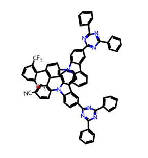 N#Cc1ccc(-n2c3ccccc3c3cc(-c4nc(-c5ccccc5)nc(-c5ccccc5)n4)ccc32)c(-c2cc(-n3c4ccccc4c4cc(-c5nc(-c6ccccc6)nc(-c6ccccc6)n5)ccc43)ccc2-c2c(C(F)(F)F)cccc2C(F)(F)F)c1